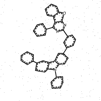 c1ccc(-c2ccc3c(c2)c2cc(-c4cccc(-c5nc(-c6ccccc6)c6c(n5)oc5ccccc56)c4)ccc2n3-c2ccccc2)cc1